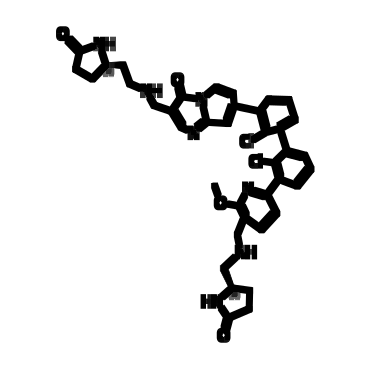 COc1nc(-c2cccc(-c3cccc(-c4ccn5c(=O)c(CNCC[C@H]6CCC(=O)N6)cnc5c4)c3Cl)c2Cl)ccc1CNC[C@H]1CCC(=O)N1